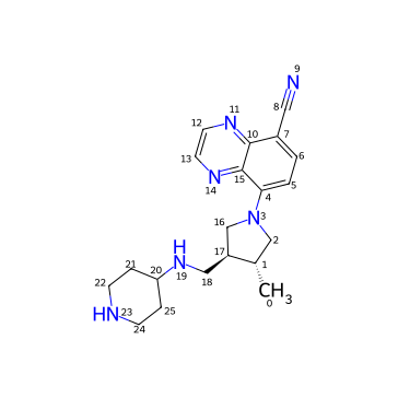 C[C@H]1CN(c2ccc(C#N)c3nccnc23)C[C@@H]1CNC1CCNCC1